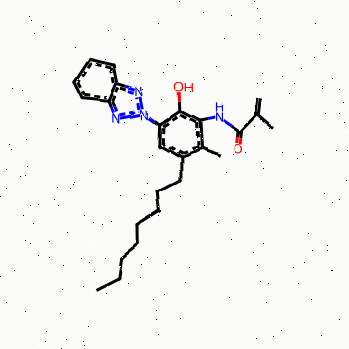 C=C(C)C(=O)Nc1c(C)c(CCCCCCCC)cc(-n2nc3ccccc3n2)c1O